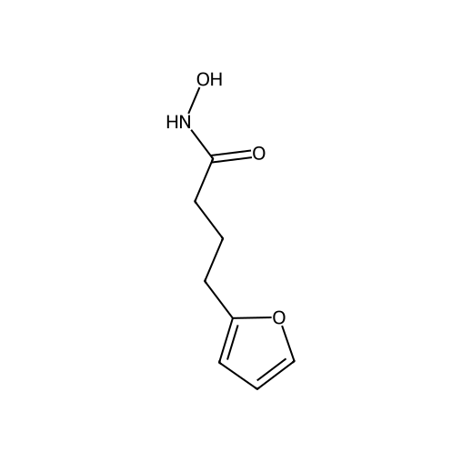 O=C(CCCc1ccco1)NO